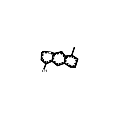 Cc1cccc2cc3c(O)cccc3cc12